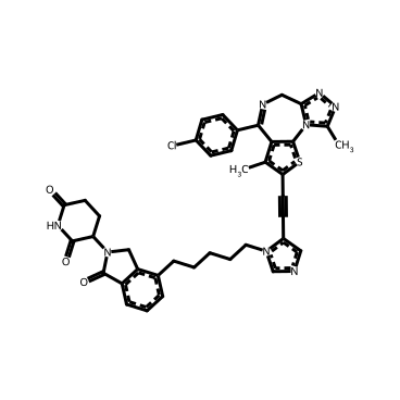 Cc1c(C#Cc2cncn2CCCCCc2cccc3c2CN(C2CCC(=O)NC2=O)C3=O)sc2c1C(c1ccc(Cl)cc1)=NCc1nnc(C)n1-2